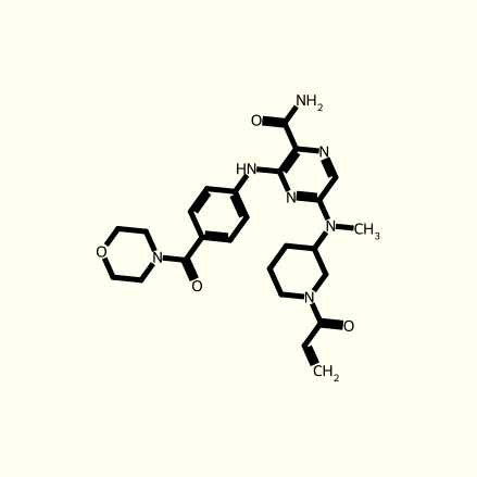 C=CC(=O)N1CCCC(N(C)c2cnc(C(N)=O)c(Nc3ccc(C(=O)N4CCOCC4)cc3)n2)C1